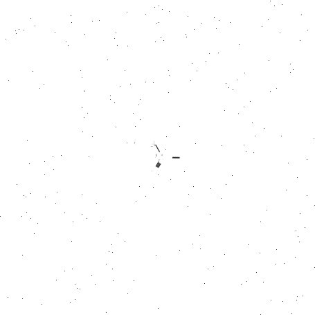 [CH3][Mo]([SiH3])=[S]